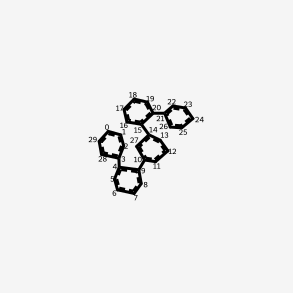 c1ccc(-c2ccccc2-c2cccc(-c3ccccc3-c3ccccc3)c2)cc1